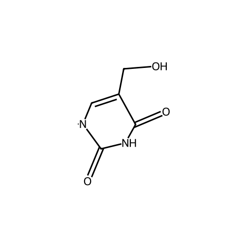 O=C1[N]C=C(CO)C(=O)N1